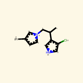 CC(C)c1ccn(CC(C)c2c[nH]cc2Cl)c1